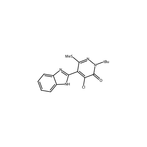 CSc1nn(C(C)(C)C)c(=O)c(Cl)c1-c1nc2ccccc2[nH]1